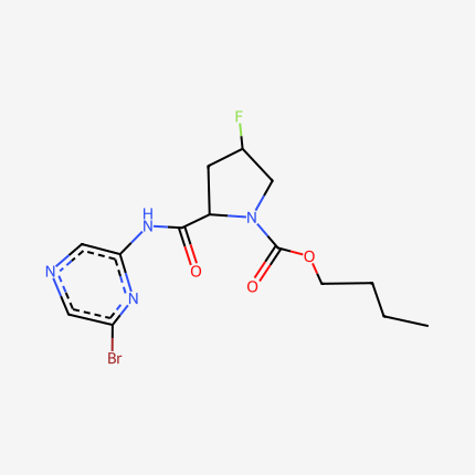 CCCCOC(=O)N1CC(F)CC1C(=O)Nc1cncc(Br)n1